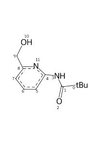 CC(C)(C)C(=O)Nc1cccc(CO)n1